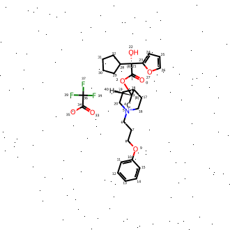 O=C(O[C@H]1C[N+]2(CCCOc3ccccc3)CCC1CC2)[C@](O)(c1ccco1)C1CCCC1.O=C([O-])C(F)(F)F